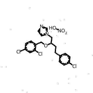 Clc1ccc(CCC(Cn2ccnc2)OCc2ccc(Cl)cc2Cl)cc1.O=[N+]([O-])O